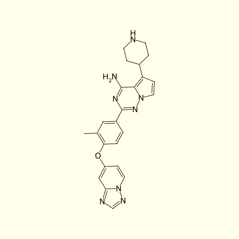 Cc1cc(-c2nc(N)c3c(C4CCNCC4)ccn3n2)ccc1Oc1ccn2ncnc2c1